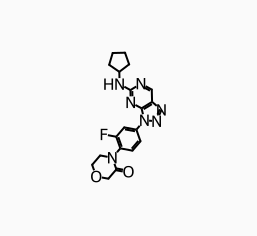 O=C1COCCN1c1ccc(-n2nnc3cnc(NC4CCCC4)nc32)cc1F